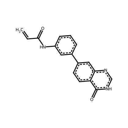 C=CC(=O)Nc1cccc(-c2ccc3c(=O)[nH]cnc3c2)c1